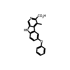 Cc1c(C(=O)O)ncc2[nH]c3ccc(Oc4ccccc4)cc3c12